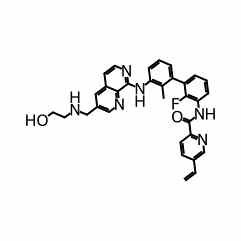 C=Cc1ccc(C(=O)Nc2cccc(-c3cccc(Nc4nccc5cc(CNCCO)cnc45)c3C)c2F)nc1